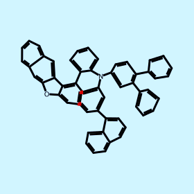 c1ccc(-c2ccc(N(c3cccc(-c4cccc5ccccc45)c3)c3ccccc3-c3cccc4oc5cc6ccccc6cc5c34)cc2-c2ccccc2)cc1